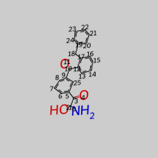 NC(O)C(=O)c1cccc(C(=O)c2ccccc2Cc2ccccc2)c1